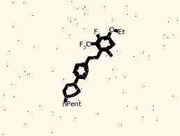 CCCCCC1CCC(c2ccc(CCc3c(C)cc(OCC)c(F)c3C(F)(F)F)cc2)CC1